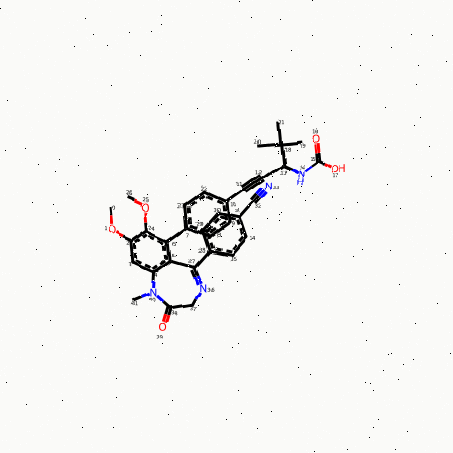 COc1cc2c(c(-c3ccc(C#CC(NC(=O)O)C(C)(C)C)cc3)c1OC)C(c1ccc(C#N)cc1)=NCC(=O)N2C